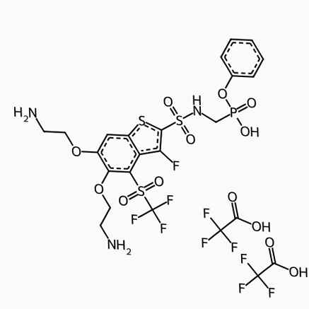 NCCOc1cc2sc(S(=O)(=O)NCP(=O)(O)Oc3ccccc3)c(F)c2c(S(=O)(=O)C(F)(F)F)c1OCCN.O=C(O)C(F)(F)F.O=C(O)C(F)(F)F